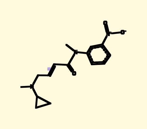 CN(C(=O)/C=C/CN(C)C1CC1)c1cccc([N+](=O)[O-])c1